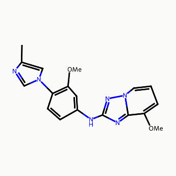 COc1cc(Nc2nc3c(OC)cccn3n2)ccc1-n1cnc(C)c1